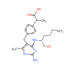 CCCCC(CO)Nc1nc(N)nc(C)c1Cc1ccc(C(C)C(=O)O)cc1